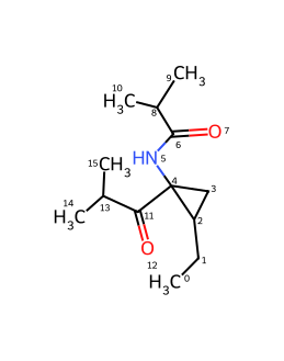 CCC1CC1(NC(=O)C(C)C)C(=O)C(C)C